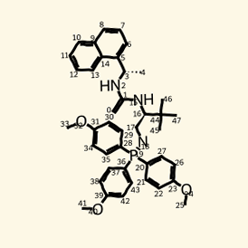 C=C(N[C@@H](C)c1cccc2ccccc12)N[C@H](CN=P(c1ccc(OC)cc1)(c1ccc(OC)cc1)c1ccc(OC)cc1)C(C)(C)C